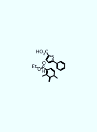 C=C1C(C)=C([PH](=O)OCC)C=CC1C.O=C(O)c1ccc(-c2ccccc2)s1